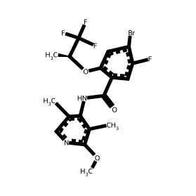 COc1ncc(C)c(NC(=O)c2cc(F)c(Br)cc2O[C@@H](C)C(F)(F)F)c1C